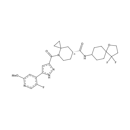 COc1cc(-c2cc(C(=O)N3CC[C@@H](C(=O)NC4CCC5(CC4)OCCC5(F)F)CC34CC4)n[nH]2)c(F)cn1